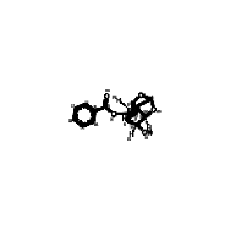 CC1C2OC3OC([C@H]2OC(=O)c2ccccc2)[C@H](O)[C@@H]1O3